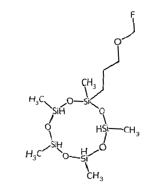 C[SiH]1O[SiH](C)O[SiH](C)O[Si](C)(CCCOCF)O[SiH](C)O1